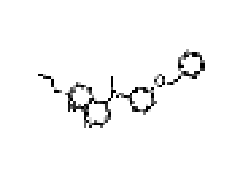 CCCc1ccc2c(Nc3cccc(OCc4ccccc4)c3)ccnc2n1